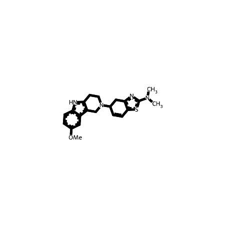 COc1ccc2[nH]c3c(c2c1)CN(C1C=Cc2sc(N(C)C)nc2C1)CC3